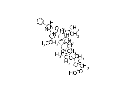 C=C(C)[C@@H]1CC[C@]2(C(=O)N3C[C@H](OC)C[C@H]3c3nc(-c4ccccc4)c[nH]3)CC[C@]3(C)[C@H](CC[C@@H]4[C@@]5(C)CC[C@H](OC(=O)[C@H]6C[C@@H](C(=O)O)C6(C)C)C(C)(C)[C@@H]5CC[C@]43C)[C@@H]12